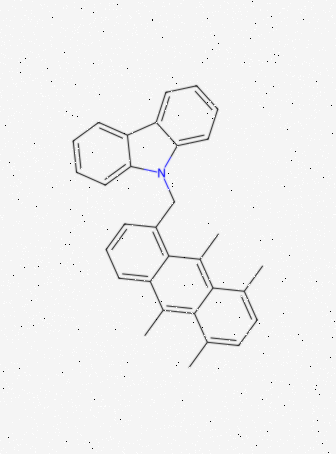 Cc1ccc(C)c2c(C)c3c(Cn4c5ccccc5c5ccccc54)cccc3c(C)c12